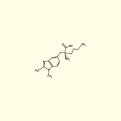 CCCC[C@](N)(Cc1ccc2c(c1)nc(C)n2C)C(=O)O